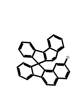 Clc1ccc2ccc3c(c2c1)C1(c2ccccc2-3)c2ccccc2-c2c1ccc1ccccc21